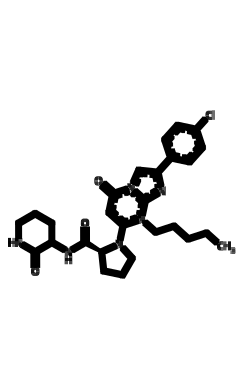 CCCCCn1c(N2CCC[C@H]2C(=O)NC2CCCNC2=O)cc(=O)n2cc(-c3ccc(Cl)cc3)nc12